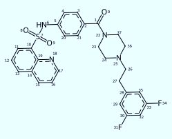 O=C(c1ccc(NS(=O)(=O)c2cccc3cccnc23)cc1)N1CCN(CCc2cc(F)cc(F)c2)CC1